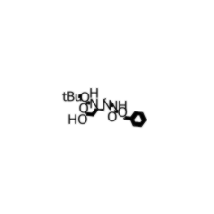 CN(C[C@@H](CCO)NC(=O)OC(C)(C)C)NC(=O)OCc1ccccc1